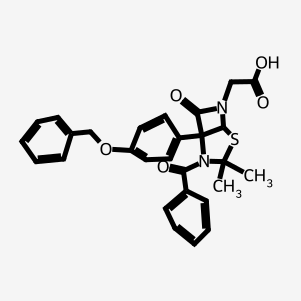 CC1(C)SC2N(CC(=O)O)C(=O)C2(c2ccc(OCc3ccccc3)cc2)N1C(=O)c1ccccc1